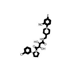 N#Cc1cc(F)ccc1N1CCC(CNC(=O)[C@H](O)[C@@H](O)C(=O)N2CCC[C@@H]2c2cccc(Cl)c2)CC1